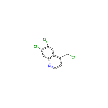 ClCc1ccnc2cc(Cl)c(Cl)cc12